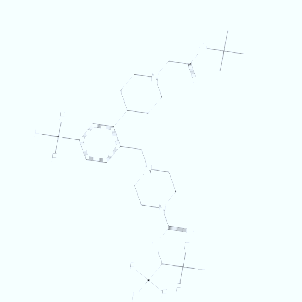 CC(C)(C)OC(=O)CN1CCC(c2cc(C(F)(F)F)ccc2CN2CCN(C(=O)OC(C(F)(F)F)C(F)(F)F)CC2)CC1